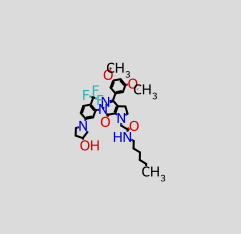 CCCCCCNC(=O)CN1CCc2c(-c3cc(OC)cc(OC)c3)nn(-c3cc(N4CCC(O)C4)ccc3C(F)(F)F)c(=O)c21